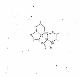 C1CCC2CCCC2C1.C1CCC2CCCC2C1